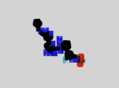 CS(=O)(=O)NCc1cc(F)cc(-c2cccc3[nH]c(-c4n[nH]c5ccc(-c6cncc(CNCC7CCCC7)c6)nc45)nc23)c1